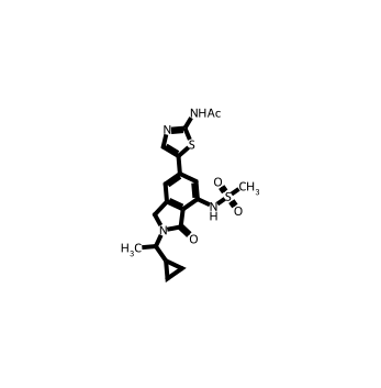 CC(=O)Nc1ncc(-c2cc3c(c(NS(C)(=O)=O)c2)C(=O)N(C(C)C2CC2)C3)s1